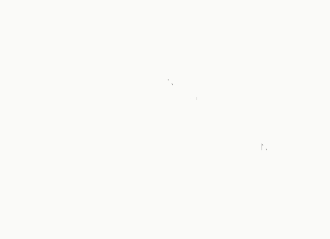 CC(CON=C1CCCCCCCCCCC1)CN(C)C